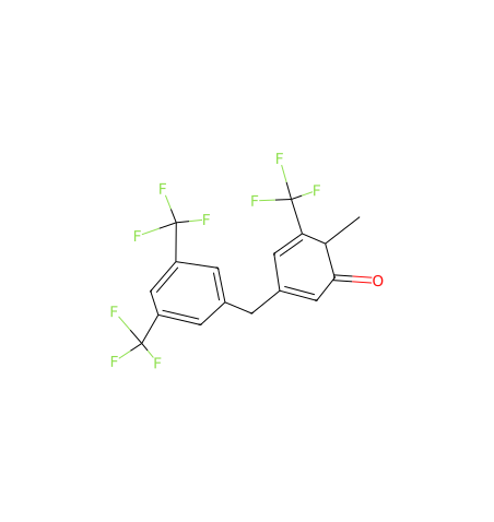 CC1C(=O)C=C(Cc2cc(C(F)(F)F)cc(C(F)(F)F)c2)C=C1C(F)(F)F